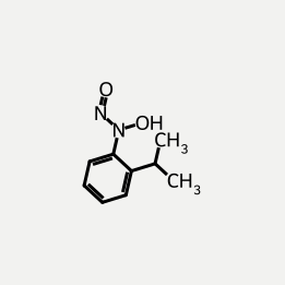 CC(C)c1ccccc1N(O)N=O